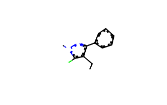 CCc1c(-c2ccccc2)nn(C)c1Cl